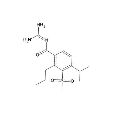 CCCc1c(C(=O)N=C(N)N)ccc(C(C)C)c1S(C)(=O)=O